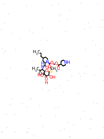 CCCC1CCN(C(=O)OCOC(=O)C2CCNCC2)C(C(=O)NC(C(C)C)C2OC(SC)C(O)C(O)C2O)C1